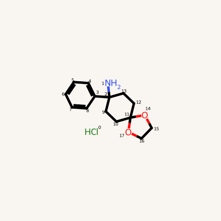 Cl.NC1(c2ccccc2)CCC2(CC1)OCCO2